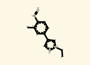 CCn1cc(-c2ccc(N=O)c(C)c2)cn1